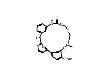 COc1ccc2cc1CN(C)CCCCCC(=O)Nc1cccc(c1)Nc1nccc-2n1